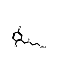 CCc1ccc(Cl)cc1CNCCOC